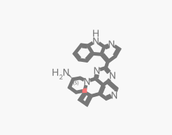 N[C@H]1CCCN(c2nc(-c3ccnc4[nH]c5ccccc5c34)nc3cncc(C4=CC=C4)c23)C1